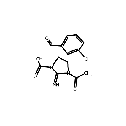 CC(=O)N1CCN(C(C)=O)C1=N.O=Cc1cccc(Cl)c1